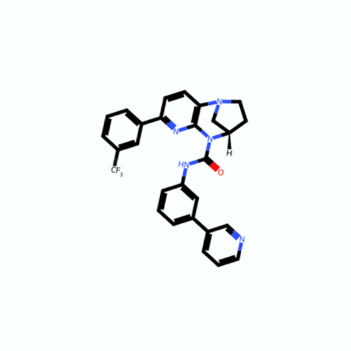 O=C(Nc1cccc(-c2cccnc2)c1)N1c2nc(-c3cccc(C(F)(F)F)c3)ccc2N2CC[C@H]1C2